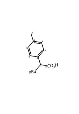 CCCCC(C(=O)O)c1ccc(C)cc1